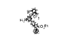 CCOC(=O)C1CC2(CCN(c3cc(O[C@H](c4c(Br)cccc4Br)C(F)(F)F)nc(N)n3)CC2)CN1C(=O)OC(C)(C)C